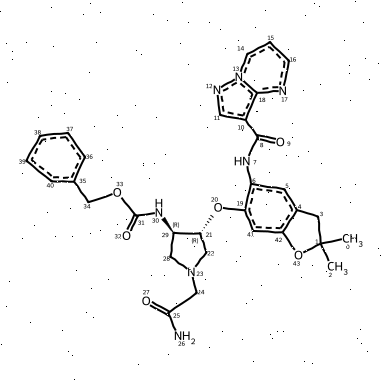 CC1(C)Cc2cc(NC(=O)c3cnn4cccnc34)c(O[C@@H]3CN(CC(N)=O)C[C@H]3NC(=O)OCc3ccccc3)cc2O1